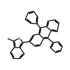 Cc1sc(-c2ccc3c(-c4ccccc4)c4ccccc4c(-c4ccccc4)c3c2)c2ccccc12